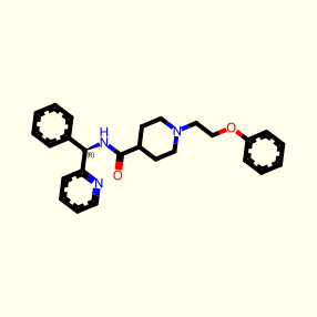 O=C(N[C@H](c1ccccc1)c1ccccn1)C1CCN(CCOc2ccccc2)CC1